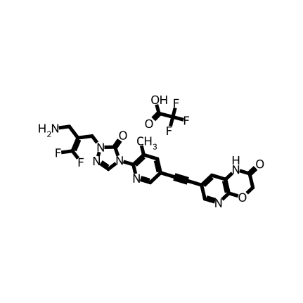 Cc1cc(C#Cc2cnc3c(c2)NC(=O)CO3)cnc1-n1cnn(CC(CN)=C(F)F)c1=O.O=C(O)C(F)(F)F